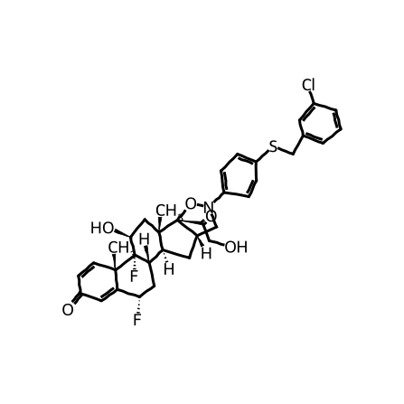 C[C@]12C=CC(=O)C=C1[C@@H](F)C[C@H]1[C@@H]3C[C@H]4CN(c5ccc(SCc6cccc(Cl)c6)cc5)O[C@@]4(C(=O)CO)[C@@]3(C)C[C@H](O)[C@@]12F